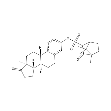 CC12CCC(C(S(=O)(=O)Oc3ccc4c(c3)CC[C@@H]3[C@@H]4CC[C@]4(C)C(=O)CC[C@@H]34)C1=O)C2(C)C